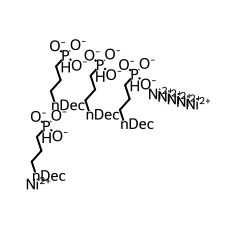 CCCCCCCCCCCCC[PH]([O-])([O-])[O-].CCCCCCCCCCCCC[PH]([O-])([O-])[O-].CCCCCCCCCCCCC[PH]([O-])([O-])[O-].CCCCCCCCCCCCC[PH]([O-])([O-])[O-].[Ni+2].[Ni+2].[Ni+2].[Ni+2].[Ni+2].[Ni+2]